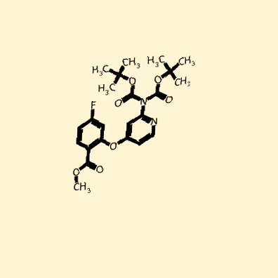 COC(=O)c1ccc(F)cc1Oc1ccnc(N(C(=O)OC(C)(C)C)C(=O)OC(C)(C)C)c1